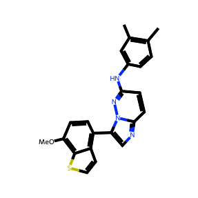 COc1ccc(-c2cnc3ccc(Nc4ccc(C)c(C)c4)nn23)c2ccsc12